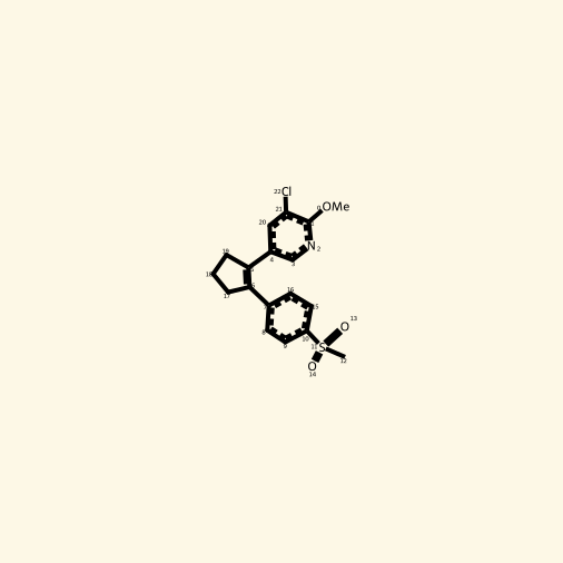 COc1ncc(C2=C(c3ccc(S(C)(=O)=O)cc3)CCC2)cc1Cl